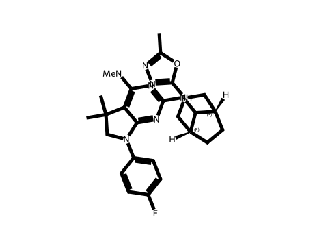 CNc1nc(NC2[C@@H]3CC[C@H]2CN(c2nnc(C)o2)C3)nc2c1C(C)(C)CN2c1ccc(F)cc1